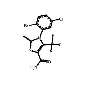 CC1SC(C(N)=O)=C(C(F)(F)F)N1c1cc(Cl)ccc1Br